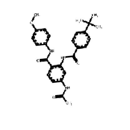 COc1ccc(NC(=O)c2ccc(NC(C)=O)cc2NC(=O)c2ccc(C(C)(C)C)cc2)cc1